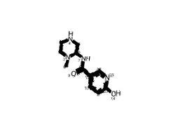 CN1CCNCC1NC(=O)c1ccc(O)nc1